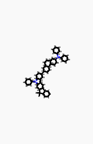 CC1(C)c2ccccc2-c2cc3c4cc(-c5ccc6c(ccc7cc(N(c8ccccc8)c8ccccc8)ccc76)c5)ccc4n(-c4ccccc4)c3cc21